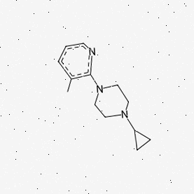 Cc1cccnc1N1CCN(C2CC2)CC1